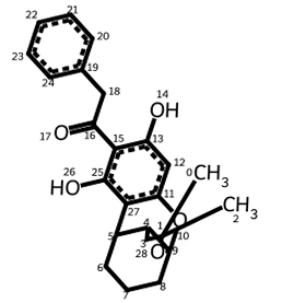 CC1(C)CC2C3CCCC2(Oc2cc(O)c(C(=O)Cc4ccccc4)c(O)c23)O1